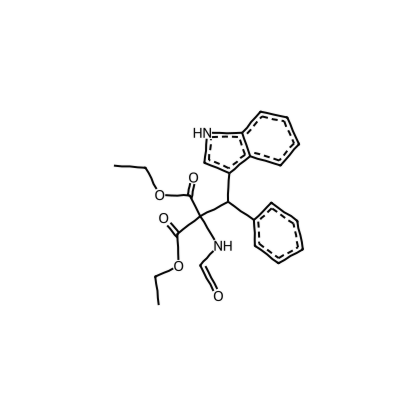 CCOC(=O)C(NC=O)(C(=O)OCC)C(c1ccccc1)c1c[nH]c2ccccc12